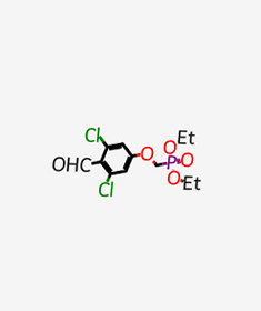 CCOP(=O)(COc1cc(Cl)c(C=O)c(Cl)c1)OCC